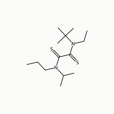 CCCN(C(=S)C(=S)N(CC)C(C)(C)C)C(C)C